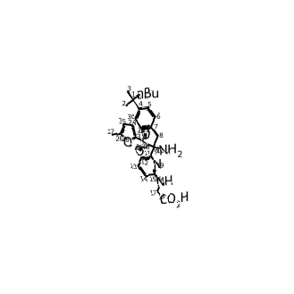 CCCCC(C)(C)c1ccc(CC(N)(c2cccc(NCC(=O)O)n2)S(=O)(=O)c2ccc(C)o2)cc1